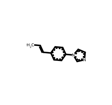 [CH2]/C=C/c1ccc(-n2ccnc2)cc1